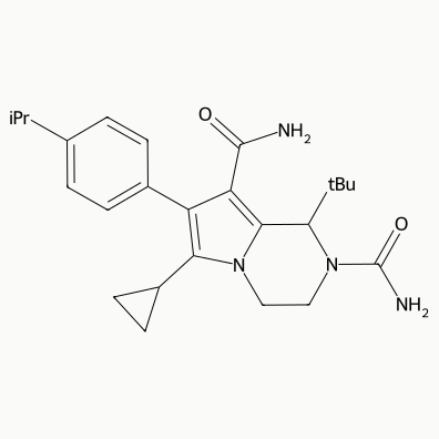 CC(C)c1ccc(-c2c(C(N)=O)c3n(c2C2CC2)CCN(C(N)=O)C3C(C)(C)C)cc1